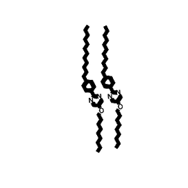 CCCCCCCCCCCCc1ccc(-c2ncc(OCCCCCCCCC)cn2)cc1.CCCCCCCCCCCc1ccc(-c2ncc(OCCCCCCCCC)cn2)cc1